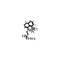 CCCCCCNCCNC1=CCCC2CC=CC(NCC)=C12